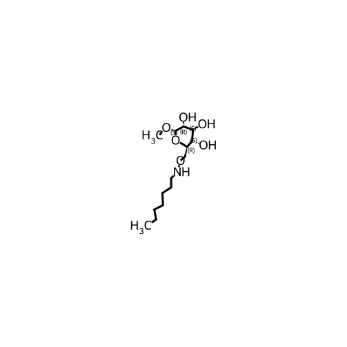 CCCCCCCNOC[C@H]1O[C@H](OC)[C@H](O)[C@@H](O)[C@@H]1O